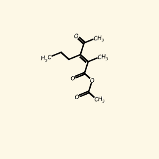 CCCC(C(C)=O)=C(C)C(=O)OC(C)=O